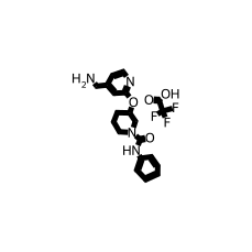 NCc1ccnc(OC2CCCN(C(=O)Nc3ccccc3)C2)c1.O=C(O)C(F)(F)F